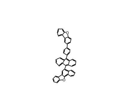 c1ccc2c(c1)oc1ccc(-c3ccc(-c4c5ccccc5c(-c5cc6c7ccccc7oc6c6ccccc56)c5ccccc45)cc3)cc12